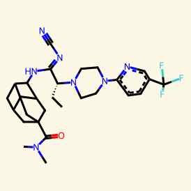 CC[C@H](/C(=N/C#N)NC1C2CC3CC1CC(C(=O)N(C)C)(C3)C2)N1CCN(c2ccc(C(F)(F)F)cn2)CC1